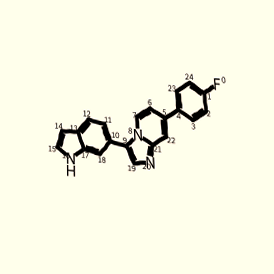 Fc1ccc(-c2ccn3c(-c4ccc5cc[nH]c5c4)cnc3c2)cc1